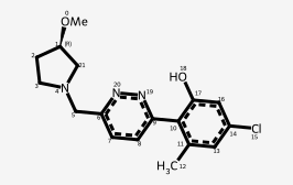 CO[C@@H]1CCN(Cc2ccc(-c3c(C)cc(Cl)cc3O)nn2)C1